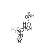 Cc1cc(Nc2ncnc3ccc(/C=C/C(=O)NC4CC4)cc23)ccc1Oc1cc2nncn2cn1